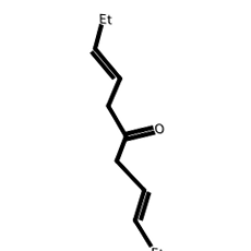 CCC=CCC(=O)CC=CCC